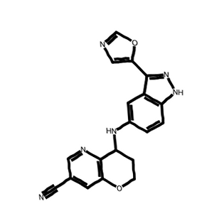 N#Cc1cnc2c(c1)OCCC2Nc1ccc2[nH]nc(-c3cnco3)c2c1